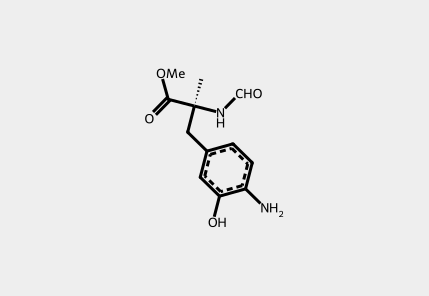 COC(=O)[C@](C)(Cc1ccc(N)c(O)c1)NC=O